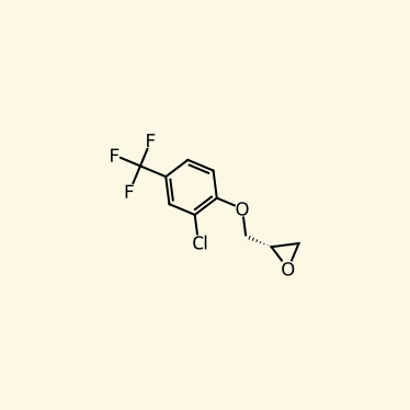 FC(F)(F)c1ccc(OC[C@@H]2CO2)c(Cl)c1